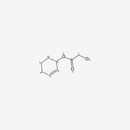 [O]CC(=O)OC1C=CCCC1